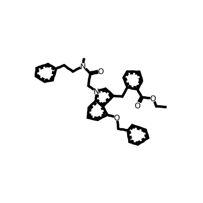 CCOC(=O)c1ccccc1Cc1cn(CC(=O)N(C)CCc2ccccc2)c2cccc(OCc3ccccc3)c12